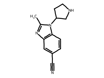 Cc1nc2cc(C#N)ccc2n1C1CCNC1